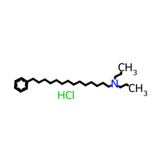 CCCN(CCC)CCCCCCCCCCCCCCc1ccccc1.Cl